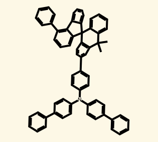 CC1(C)c2ccccc2C2(c3ccccc3-c3c(-c4ccccc4)cccc32)c2ccc(-c3ccc(N(c4ccc(-c5ccccc5)cc4)c4ccc(-c5ccccc5)cc4)cc3)cc21